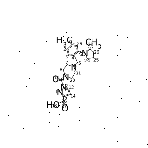 Cc1ccc(CN2CCN(C(=O)n3ccc(C(=O)O)n3)CC2)c(N2CCC[C@H]2C)c1